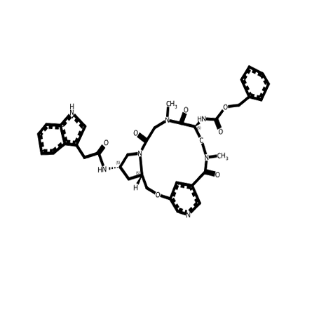 CN1C[C@H](NC(=O)OCc2ccccc2)C(=O)N(C)CC(=O)N2C[C@@H](NC(=O)Cc3c[nH]c4ccccc34)C[C@H]2COc2cncc(c2)C1=O